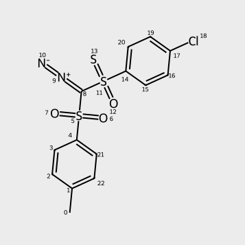 Cc1ccc(S(=O)(=O)C(=[N+]=[N-])S(=O)(=S)c2ccc(Cl)cc2)cc1